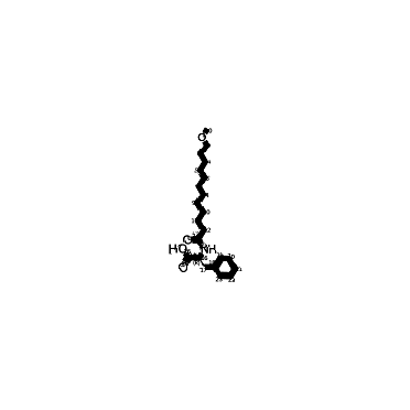 COCCCCCCCCCCCC(=O)N[C@H](Cc1ccccc1)C(=O)O